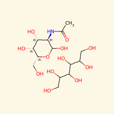 CC(=O)N[C@H]1C(O)O[C@H](CO)[C@H](O)[C@@H]1O.OCC(O)C(O)C(O)C(O)CO